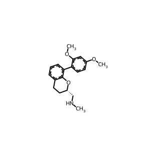 CNC[C@@H]1CCc2cccc(-c3ccc(OC)cc3OC)c2O1